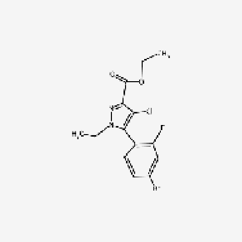 CCOC(=O)c1nn(CC)c(-c2ccc(Br)cc2F)c1Cl